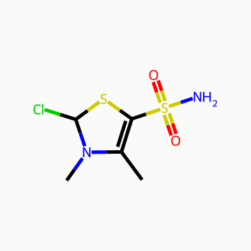 CC1=C(S(N)(=O)=O)SC(Cl)N1C